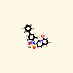 CS(=O)(=O)N[C@H]1CCc2cccc(=O)n2[C@H]1Cc1cccc(-c2ccccc2)c1